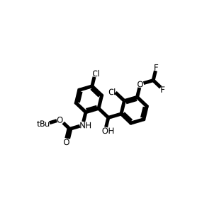 CC(C)(C)OC(=O)Nc1ccc(Cl)cc1C(O)c1cccc(OC(F)F)c1Cl